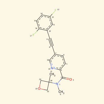 CN(C(=O)c1ccc(C#Cc2cc(F)ccc2F)cn1)C1(C)COC1